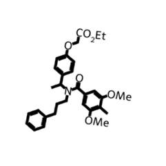 CCOC(=O)COc1ccc(C(C)N(CCCc2ccccc2)C(=O)c2cc(OC)c(C)c(OC)c2)cc1